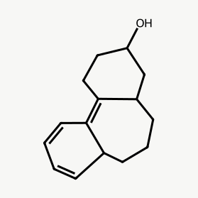 OC1CCC2=C3C=CC=CC3CCCC2C1